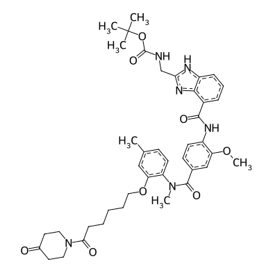 COc1cc(C(=O)N(C)c2ccc(C)cc2OCCCCCC(=O)N2CCC(=O)CC2)ccc1NC(=O)c1cccc2[nH]c(CNC(=O)OC(C)(C)C)nc12